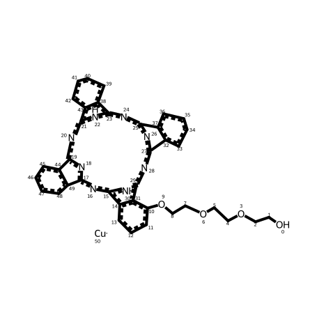 OCCOCCOCCOc1cccc2c3nc4nc(nc5[nH]c(nc6nc(nc([nH]3)c12)-c1ccccc1-6)c1ccccc51)-c1ccccc1-4.[Cu]